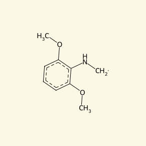 [CH2]Nc1c(OC)cccc1OC